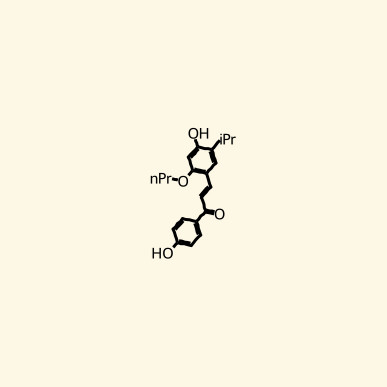 CCCOc1cc(O)c(C(C)C)cc1/C=C/C(=O)c1ccc(O)cc1